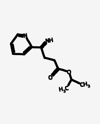 CC(C)OC(=O)CCC(=N)c1ccccn1